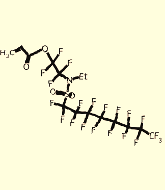 C=CC(=O)OC(F)(F)C(F)(F)N(CC)S(=O)(=O)C(F)(F)C(F)(F)C(F)(F)C(F)(F)C(F)(F)C(F)(F)C(F)(F)C(F)(F)F